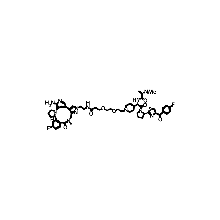 CN[C@H](C)C(=O)N[C@@H](C(=O)N1CCC[C@@H]1C1=NC(C(=O)c2ccc(F)cc2)CS1)C1CCN(CCOCCOCCC(=O)NCCn2cc3c(n2)CN(C)C(=O)c2ccc(F)cc2[C@H]2CCCN2c2cc-3cnc2N)CC1